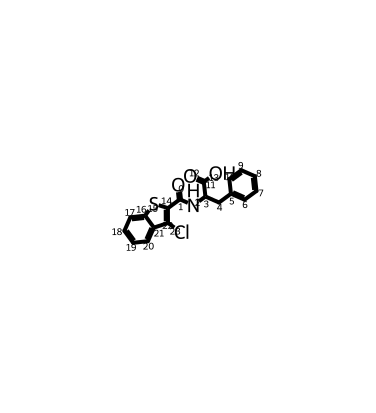 O=C(NC(Cc1ccccc1)C(=O)O)c1sc2ccccc2c1Cl